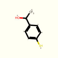 OC(c1ccc(S)cc1)C(F)(F)F